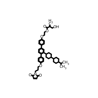 C=C(CO)C(=O)OCCOc1ccc(-c2ccc(-c3ccc(OCCCN4C(=O)C=CC4=O)cc3)c(C3CCC(C4CCC(C(C)C)CC4)CC3)c2)cc1